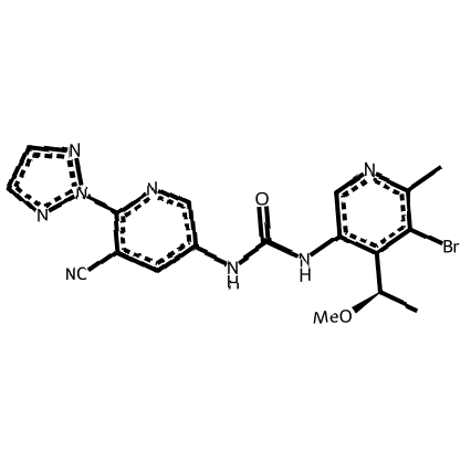 CO[C@H](C)c1c(NC(=O)Nc2cnc(-n3nccn3)c(C#N)c2)cnc(C)c1Br